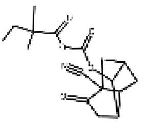 CCC(C)(C)C(=O)OC(=O)OC1C2CC3C1CC(=O)C3(C#N)C2